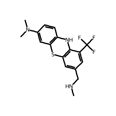 CNCc1cc2c(c(C(F)(F)F)c1)Nc1ccc(N(C)C)cc1S2